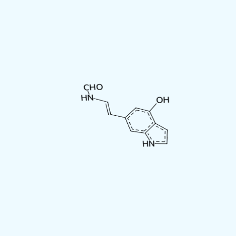 O=CNC=Cc1cc(O)c2cc[nH]c2c1